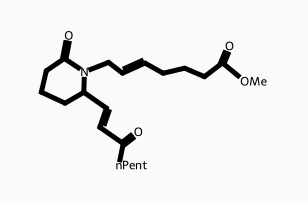 CCCCCC(=O)C=CC1CCCC(=O)N1CC=CCCCC(=O)OC